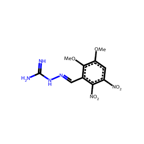 COc1cc([N+](=O)[O-])c([N+](=O)[O-])c(/C=N/NC(=N)N)c1OC